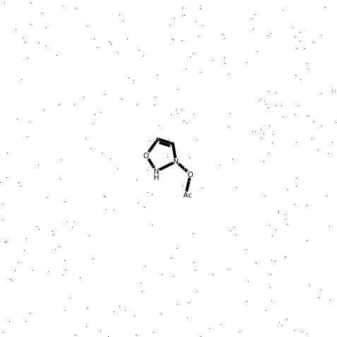 CC(=O)ON1C=CON1